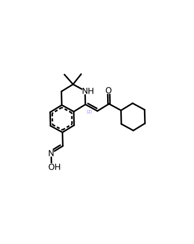 CC1(C)Cc2ccc(C=NO)cc2/C(=C/C(=O)C2CCCCC2)N1